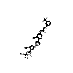 CC(C)(C)OC(=O)N1C[C@H](n2cc(-c3ncc(NC(=O)COc4cccc(C(F)(F)F)c4)cc3C#N)cn2)C[C@@H]1C#N